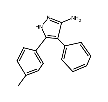 Cc1ccc(-c2[nH]nc(N)c2-c2ccccc2)cc1